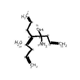 C=CCC=C(CC=C)C(N)(O)CC=C.O